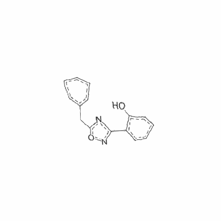 Oc1ccccc1-c1noc(Cc2ccccc2)n1